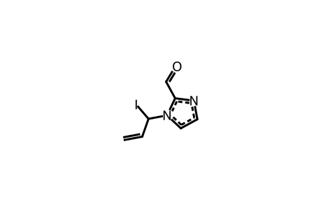 C=CC(I)n1ccnc1C=O